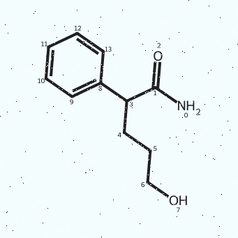 NC(=O)C(CCCO)c1ccccc1